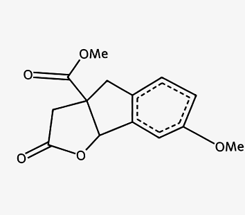 COC(=O)C12CC(=O)OC1c1cc(OC)ccc1C2